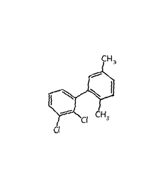 Cc1ccc(C)c(-c2cccc(Cl)c2Cl)c1